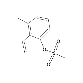 C=Cc1c(C)cccc1OS(C)(=O)=O